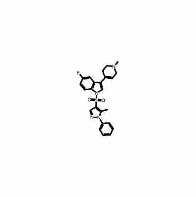 Cc1c(S(=O)(=O)n2cc(C3=CCN(C)CC3)c3cc(F)ccc32)cnn1-c1ccccc1